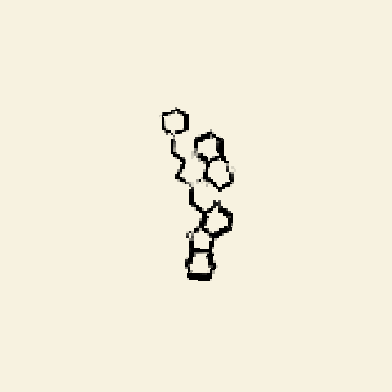 c1cnc2c(c1)OCC[C@@H]2N(CCCN1CCCCC1)Cc1nccc2c1oc1ccccc12